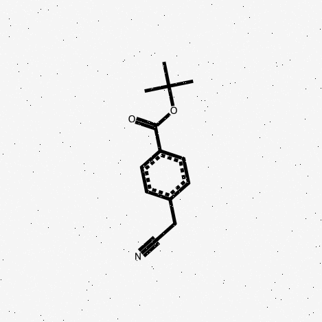 CC(C)(C)OC(=O)c1ccc(CC#N)cc1